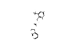 [2H]C([2H])([2H])c1cc(Cl)cc(Cl)c1CNC(=O)O[C@@H]1COc2ncccc21